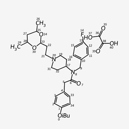 CC(C)COc1ccc(CC(=O)N(Cc2ccc(F)cc2)C2CCN(CCC3OC(C)CC(C)O3)CC2)cc1.O=C(O)C(=O)O